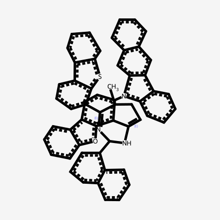 CC1C/C=C(\c2c(-n3c4ccccc4c4cc5ccccc5cc43)ccc3c2oc2ccccc23)NC(c2cccc3ccccc23)/N=C\1c1cccc2c1sc1ccccc12